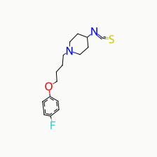 Fc1ccc(OCCCCN2CCC(N=C=S)CC2)cc1